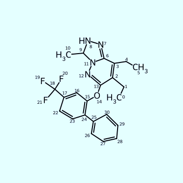 CCC1=C(CC)C2=NNC(C)N2N=C1Oc1cc(C(F)(F)F)ccc1-c1ccccc1